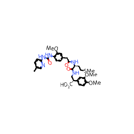 COc1cc(CC(=O)N[C@@H](CCSC)C(=O)NC[C@@H](C(=O)O)c2ccc(OC)c(OC)c2)ccc1NC(=O)Nc1ccc(C)cn1